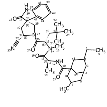 CCC1CC2CC(C)CC(C(=O)N[C@@H](C)C(=O)N(C)[C@@H](CC(C)(C)C)C(=O)N3C[C@]4(C[C@H]3C#N)C(=O)Nc3ccccc34)(C1)C2